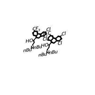 CCCCN(CCCC)CCC(O)c1cc2c(Cl)cc(Cl)cc2c2cc(C(F)(F)F)ccc12.CCCCN(CCCC)CCC(O)c1cc2c(Cl)cc(Cl)cc2c2cc(C(F)(F)F)ccc12